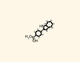 CB(O)c1ccc(-c2cc3ccccc3[nH]2)cc1